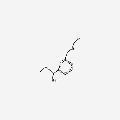 CCNCc1cccc(C(N)CC)n1